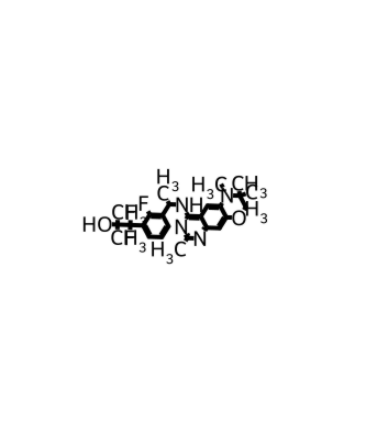 Cc1nc(NC(C)c2cccc(C(F)(F)C(C)(C)O)c2F)c2cc3c(cc2n1)OCC(C)(C)N3C